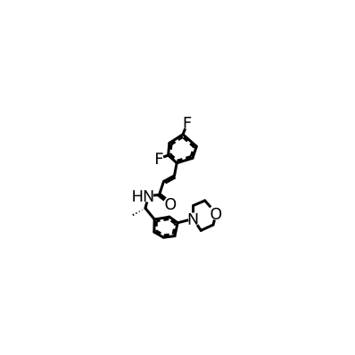 C[C@H](NC(=O)/C=C/c1ccc(F)cc1F)c1cccc(N2CCOCC2)c1